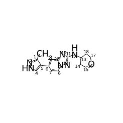 Cc1n[nH]cc1-c1ccn2nc(NC3CCOCC3)nc2c1